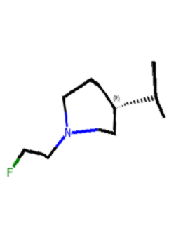 CC(C)[C@H]1CCN(CCF)C1